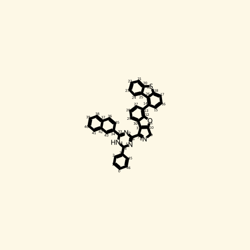 c1ccc(C2N=C(C3=NCc4oc5c(-c6cccc7sc8ccccc8c67)cccc5c43)N=C(c3ccc4ccccc4c3)N2)cc1